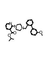 COc1cccc(-c2ccccc2CN2CCN(c3ncccc3C(=O)OC(C)C)CC2)c1